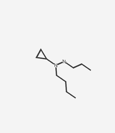 CCCCN([N]CCC)C1CC1